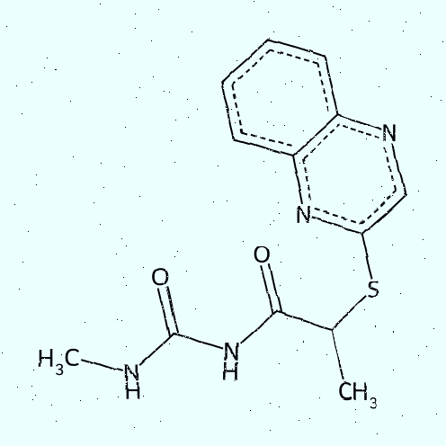 CNC(=O)NC(=O)C(C)Sc1cnc2ccccc2n1